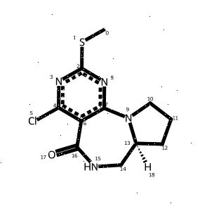 CSc1nc(Cl)c2c(n1)N1CCC[C@H]1CNC2=O